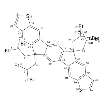 CCCCC(CC)CC1(CC(CC)CCCC)c2cc3c(cc2-c2cc4sccc4cc21)C(CC(CC)CCCC)(CC(CC)CCCC)c1cc2ccsc2cc1-3